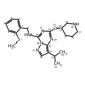 CSc1ccccc1CNc1nc(O[C@@H]2CCCNC2)nc2c(C(C)C)cnn12